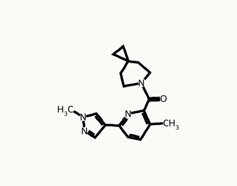 Cc1ccc(-c2cnn(C)c2)nc1C(=O)N1CCC2(CC1)CC2